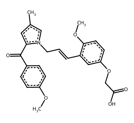 COc1ccc(C(=O)c2cc(C)cn2CC=Cc2cc(OCC(=O)O)ccc2OC)cc1